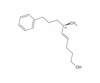 C[C@@H](C=CCCCO)CCCc1ccccc1